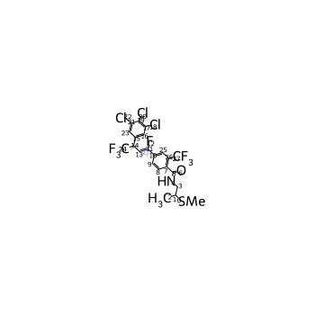 CSC(C)CNC(=O)c1ccc(/C(F)=C/C(c2cc(Cl)c(Cl)c(Cl)c2)C(F)(F)F)cc1C(F)(F)F